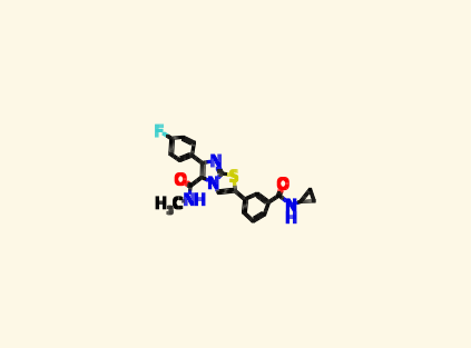 CNC(=O)c1c(-c2ccc(F)cc2)nc2sc(-c3cccc(C(=O)NC4CC4)c3)cn12